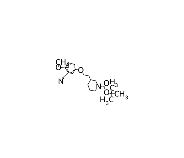 COc1ccc(OCCC2CCCN(C(=O)OC(C)(C)C)C2)cc1C#N